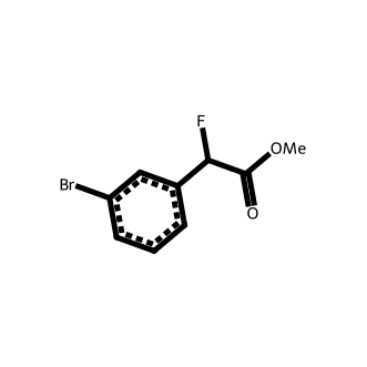 COC(=O)C(F)c1cccc(Br)c1